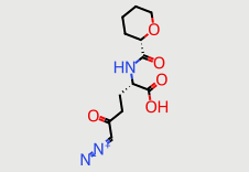 [N-]=[N+]=CC(=O)CC[C@H](NC(=O)[C@@H]1CCCCO1)C(=O)O